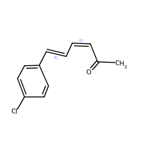 CC(=O)/C=C\C=C\c1ccc(Cl)cc1